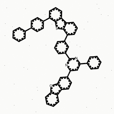 c1ccc(-c2ccc(-c3cccc4c3sc3c(-c5cccc(-c6nc(-c7ccccc7)cc(-c7ccc8c(c7)oc7ccccc78)n6)c5)cccc34)cc2)cc1